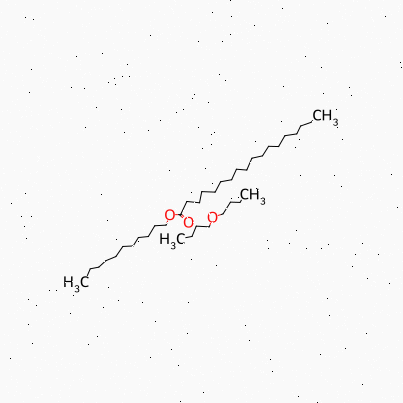 CCCCCCCCCCCCCCCCCC(=O)OCCCCCCCCCCC.CCCCOCCCC